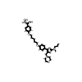 CCCN(C)c1nc(-c2ccc(OCCCCCOc3ccc(C(=N)NO)cc3)cc2)c(CN2CCOCC2)s1